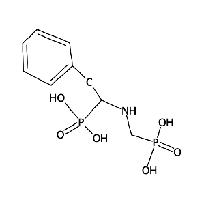 O=P(O)(O)CNC(Cc1ccccc1)P(=O)(O)O